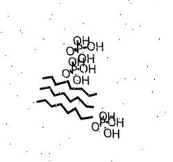 CCCCCCCC.CCCCCCCC.CCCCCCCC.O=P(O)(O)O.O=P(O)(O)O.O=P(O)(O)O